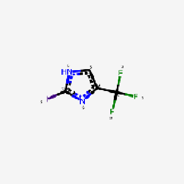 FC(F)(F)c1c[nH]c(I)n1